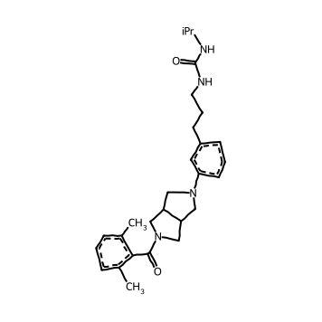 Cc1cccc(C)c1C(=O)N1CC2CN(c3cccc(CCCNC(=O)NC(C)C)c3)CC2C1